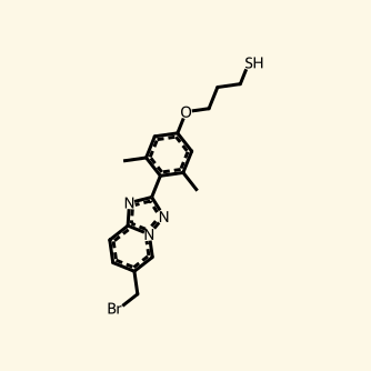 Cc1cc(OCCCS)cc(C)c1-c1nc2ccc(CBr)cn2n1